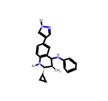 CCn1cc(-c2ccc3c(c2)C(Nc2ccccc2)[C@@H](C)[C@H](C2CC2)N3C(C)=O)cn1